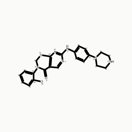 O=C1c2cnc(Nc3ccc(N4CCNCC4)cc3)nc2OCN1c1ccccc1Cl